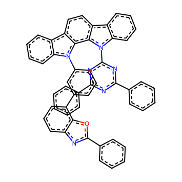 c1ccc(-c2nc(-c3ccccc3)nc(-n3c4ccccc4c4ccc5c6ccccc6n(-c6cccc(-c7cccc8nc(-c9ccccc9)oc78)c6)c5c43)n2)cc1